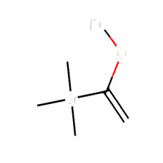 C=C(OCC)[Si](C)(C)C